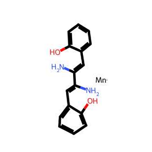 NC(=Cc1ccccc1O)C(N)=Cc1ccccc1O.[Mn]